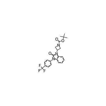 CC(C)(C)OC(=O)N1CC(n2c(=O)n(-c3ccc(C(F)(F)F)cc3)c3ccccc32)C1